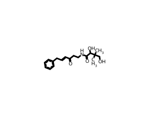 CC(C)(CO)C(O)C(=O)NCCC(=O)C=CCc1ccccc1